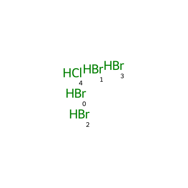 Br.Br.Br.Br.Cl